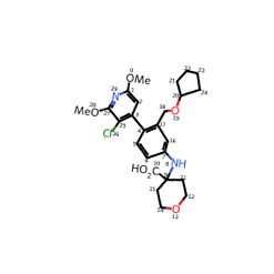 COc1cc(-c2ccc(NC3(C(=O)O)CCOCC3)cc2COC2CCCC2)c(Cl)c(OC)n1